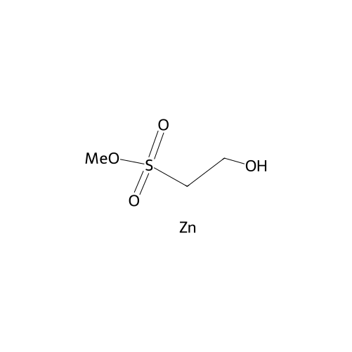 COS(=O)(=O)CCO.[Zn]